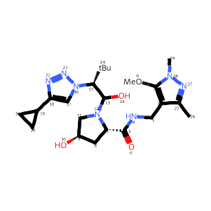 COc1c(CNC(=O)[C@@H]2C[C@@H](O)CN2C(O)[C@@H](n2cc(C3CC3)nn2)C(C)(C)C)c(C)nn1C